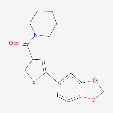 O=C(C1C=C(c2ccc3c(c2)OCO3)SC1)N1CCCCC1